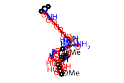 COc1cccc2c1C(=O)c1c(O)c3c(c(O)c1C2=O)C[C@@](O)(C(=O)COC(=O)N(C)CCN(C)C(=O)OCc1ccc(NC(=O)[C@H](CCCNC(N)=O)NC(=O)[C@@H](NC(=O)CCOCCOCCOCCOCCC(=O)NCCC(=O)N2Cc4ccccc4C#Cc4ccccc42)C(C)C)cc1)C[C@@H]3O[C@H]1C[C@H]2[C@H](O[C@@H]3[C@@H](OC)OCCN32)[C@H](C)O1